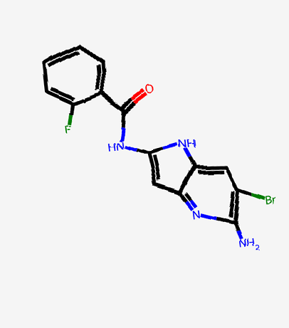 Nc1nc2cc(NC(=O)c3ccccc3F)[nH]c2cc1Br